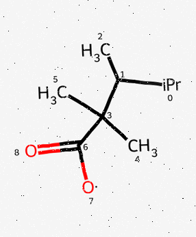 CC(C)C(C)C(C)(C)C([O])=O